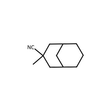 CC1(C#N)CC2CCCC(C2)C1